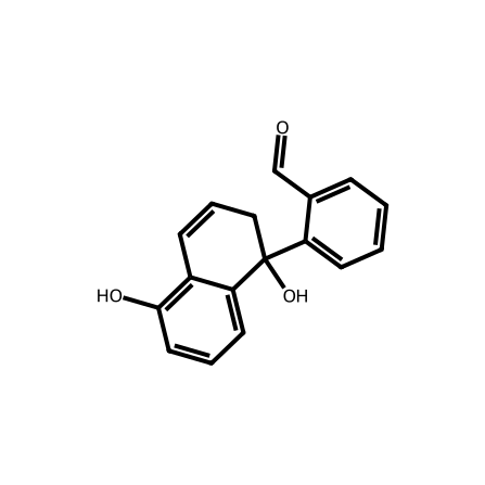 O=Cc1ccccc1C1(O)CC=Cc2c(O)cccc21